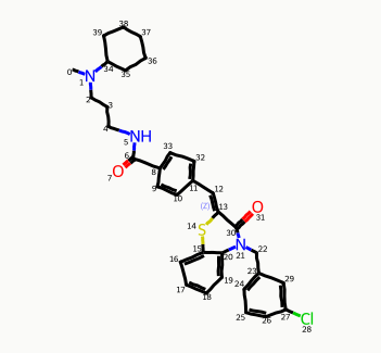 CN(CCCNC(=O)c1ccc(/C=C2\Sc3ccccc3N(Cc3cccc(Cl)c3)C2=O)cc1)C1CCCCC1